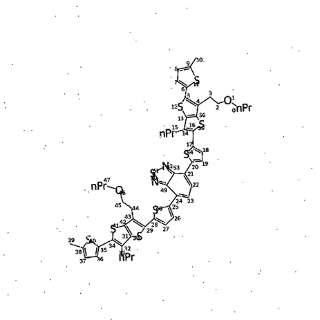 CCCOCCc1c(-c2ccc(C)s2)sc2c(CCC)c(-c3ccc(-c4ccc(-c5ccc(-c6sc7c(CCC)c(-c8ccc(C)s8)sc7c6CCOCCC)s5)c5nsnc45)s3)sc12